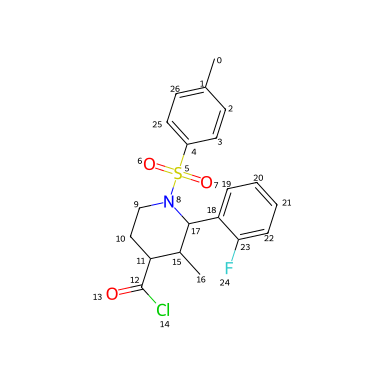 Cc1ccc(S(=O)(=O)N2CCC(C(=O)Cl)C(C)C2c2ccccc2F)cc1